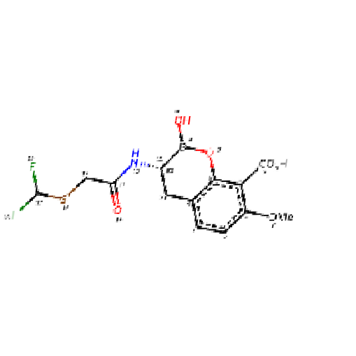 COc1ccc2c(c1C(=O)O)OB(O)[C@@H](NC(=O)CSC(F)F)C2